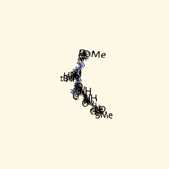 COC1=CC[C@@H]([C@@H](C)/C=C(C)/C=C\C=C/C(=O)N[C@H](C(=O)N/C=C\C[C@H](C/C=C(\C)Cl)OC(=O)NCCCNC(=O)CCCCCN2C(=O)CC(SC)C2=O)C(C)(C)C)OC1=O